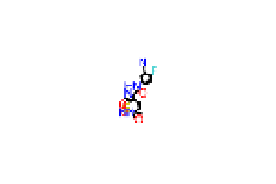 Cn1cc2c(c1C(=O)Nc1ccc(F)c(C#N)c1)CCC1(COC1)NS2(=O)=O